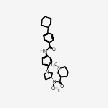 CN1CCCC(C(=O)N(C)[C@@H]2CCN(c3ccc(NC(=O)c4ccc(C5CCCCC5)cc4)cc3)C2)C1